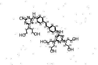 OCCN(CCO)c1nc(Cl)nc(Nc2ccc(C=Cc3ccc(Nc4nc(N(CCO)CCO)nc(N(CCO)CCO)n4)cc3)cc2)n1